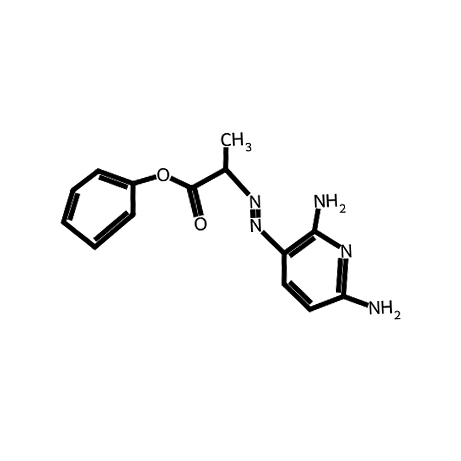 CC(N=Nc1ccc(N)nc1N)C(=O)Oc1ccccc1